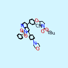 CC(C)(C)OC(=O)N1CCC(Oc2ccc(-c3ccnc4c3cc(-c3ccc(N5CCOCC5)cc3)n4S(=O)(=O)c3ccccc3)cc2C#N)C1